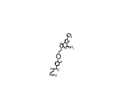 CNCCNC(=O)c1ccc(N2CCN(CCn3cnc4c3nc(N)n3nc(-c5ccco5)cc43)CC2)c(F)c1